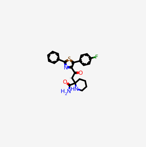 NC(=O)C1([CH]C(=O)c2nc(-c3ccccc3)sc2-c2ccc(F)cc2)CCCCN1